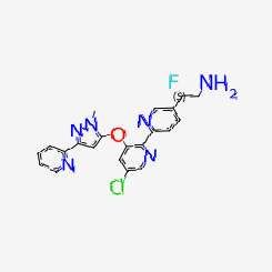 Cn1nc(-c2ccccn2)cc1Oc1cc(Cl)cnc1-c1ccc([C@H](F)CN)cn1